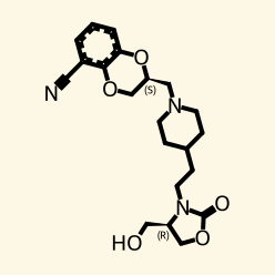 N#Cc1cccc2c1OC[C@H](CN1CCC(CCN3C(=O)OC[C@H]3CO)CC1)O2